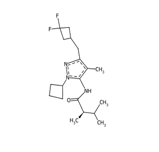 Cc1c(CC2CC(F)(F)C2)nn(C2CCC2)c1NC(=O)[C@H](C)C(C)C